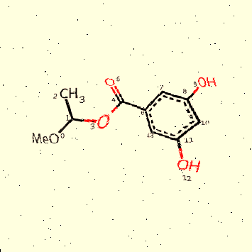 COC(C)OC(=O)c1cc(O)cc(O)c1